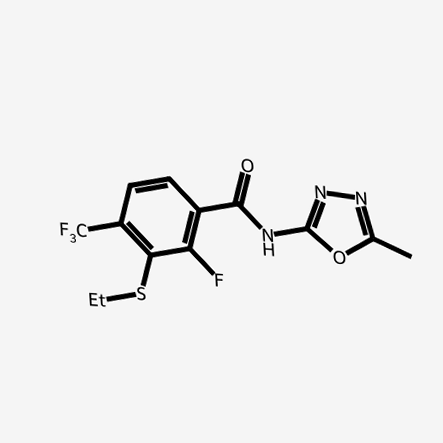 CCSc1c(C(F)(F)F)ccc(C(=O)Nc2nnc(C)o2)c1F